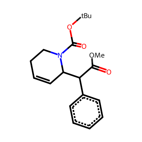 COC(=O)C(c1ccccc1)C1C=CCCN1C(=O)OC(C)(C)C